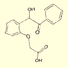 O=C(O)COc1ccccc1C(O)C(=O)c1ccccc1